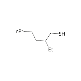 CCCCCC(CC)CS